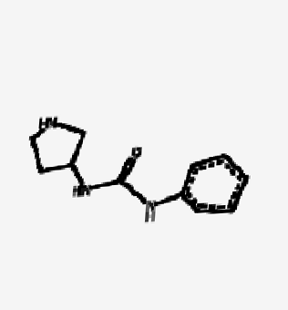 O=C(Nc1ccccc1)NC1CCNC1